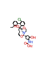 C=CCC[C@](O)(c1cccc(Cl)c1-c1cccc(CC)c1)[C@H]1CN(C(=O)[C@@H]2C[C@@H](O)[C@H](NC(=O)O)C2)CCO1